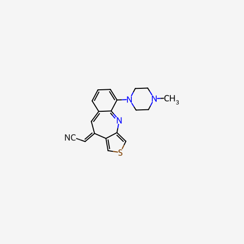 CN1CCN(c2cccc3c2=Nc2cscc2C(=CC#N)C=3)CC1